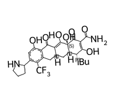 CC[C@@H](C)C1C(O)=C(C(N)=O)C(=O)[C@@]2(O)C(O)=C3C(=O)c4c(O)cc(C5CCCN5)c(C(F)(F)F)c4C[C@H]3C[C@@H]12